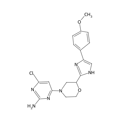 COc1ccc(-c2c[nH]c(C3CN(c4cc(Cl)nc(N)n4)CCO3)n2)cc1